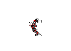 COc1nc(-c2cccc(-c3cccc(Nc4nccc5sc(CN6CCC(S(N)(=O)=O)CC6)cc45)c3Cl)c2Cl)ccc1CNC[C@@H]1CCC(=O)N1